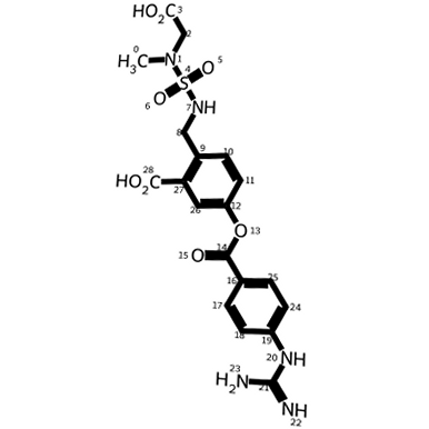 CN(CC(=O)O)S(=O)(=O)NCc1ccc(OC(=O)c2ccc(NC(=N)N)cc2)cc1C(=O)O